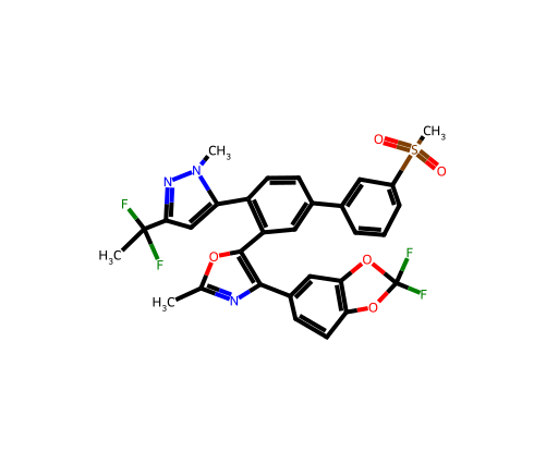 Cc1nc(-c2ccc3c(c2)OC(F)(F)O3)c(-c2cc(-c3cccc(S(C)(=O)=O)c3)ccc2-c2cc(C(C)(F)F)nn2C)o1